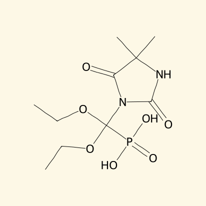 CCOC(OCC)(N1C(=O)NC(C)(C)C1=O)P(=O)(O)O